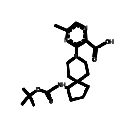 Cc1cnc(C(=O)O)c(N2CCC3(CCCC3NC(=O)OC(C)(C)C)CC2)n1